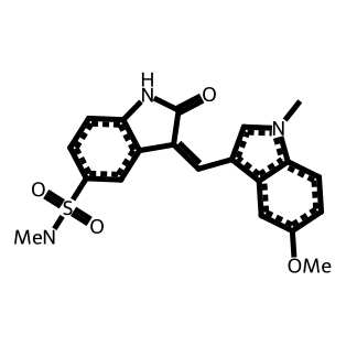 CNS(=O)(=O)c1ccc2c(c1)C(=Cc1cn(C)c3ccc(OC)cc13)C(=O)N2